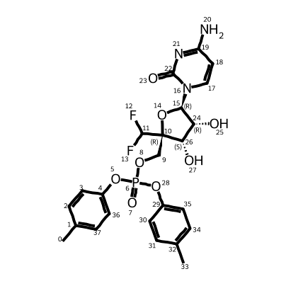 Cc1ccc(OP(=O)(OC[C@@]2(C(F)F)O[C@@H](n3ccc(N)nc3=O)[C@H](O)[C@@H]2O)Oc2ccc(C)cc2)cc1